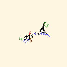 Nc1scc(CN2CCC(Nc3ccc(Cl)cc3)CC2)c1C(=O)c1ccc(Cl)cc1